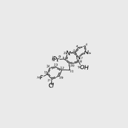 CC(C)c1nc2ccnn2c(O)c1Cc1ccc(F)c(Cl)c1